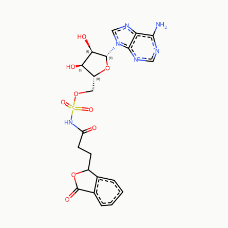 Nc1ncnc2c1ncn2[C@@H]1O[C@H](COS(=O)(=O)NC(=O)CCC2OC(=O)c3ccccc32)[C@@H](O)[C@H]1O